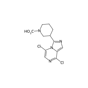 O=C(O)N1CCCC(c2ncc3c(Cl)ncc(Cl)n23)C1